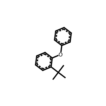 CC(C)(C)c1ccccc1Oc1ccccc1